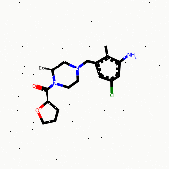 CC[C@H]1CN(Cc2cc(Cl)cc(N)c2C)CCN1C(=O)[C@H]1CCCO1